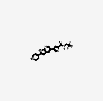 O=C(NCC(F)(F)F)c1cc(-c2cnc3[nH]c(C4=CCNCC4)cc3c2)cs1